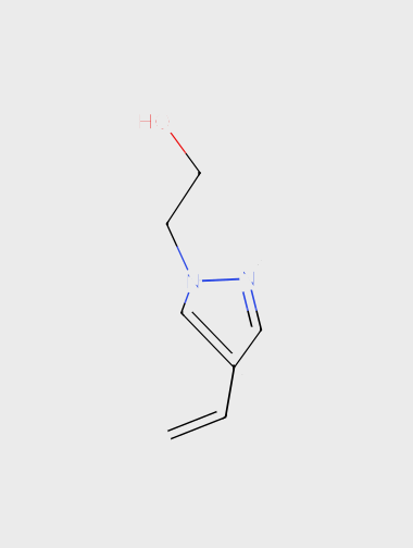 C=Cc1cnn(CCO)c1